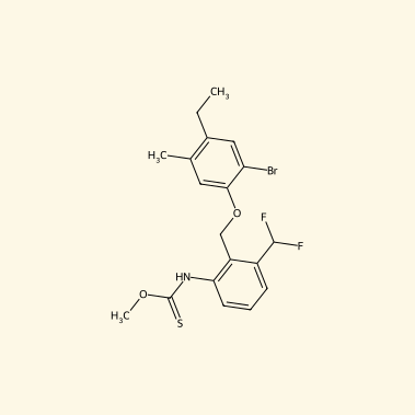 CCc1cc(Br)c(OCc2c(NC(=S)OC)cccc2C(F)F)cc1C